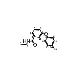 CCNC(=O)c1cccc(Oc2ccc(C)cc2)c1